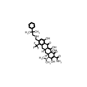 CN(C)[C@@H]1C(O)=C(C(N)=O)C(=O)[C@@]2(O)C(O)=C3C(=O)c4c(O)cc(CNCC(C)(C)c5ccccc5)c(C(F)(F)F)c4C[C@H]3C[C@@H]12